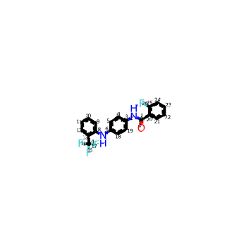 O=C(Nc1ccc(Nc2ccccc2C(F)(F)F)cc1)c1ccccc1F